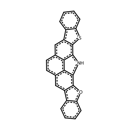 c1ccc2c(c1)oc1c2cc2ccc3cc4c5ccccc5sc4c4[nH]c1c2c34